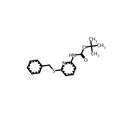 CC(C)(C)OC(=O)Nc1cccc(SCc2ccccc2)n1